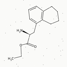 CCOC(=O)[C@@H](N)Cc1cccc2c1CCCC2